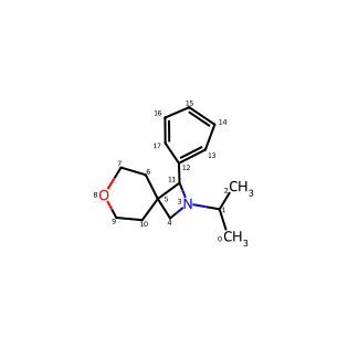 CC(C)N1CC2(CCOCC2)C1c1ccccc1